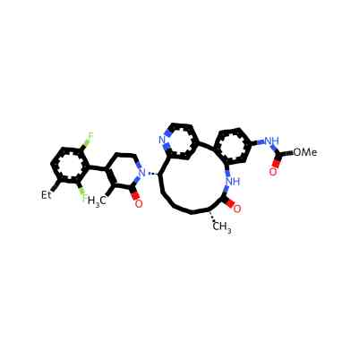 CCc1ccc(F)c(C2=C(C)C(=O)N([C@H]3CCC[C@@H](C)C(=O)Nc4cc(NC(=O)OC)ccc4-c4ccnc3c4)CC2)c1F